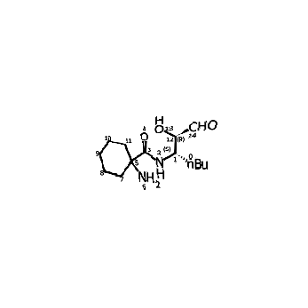 CCCC[C@H](NC(=O)C1(N)CCCCC1)[C@@H](O)C=O